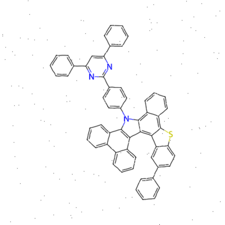 c1ccc(-c2ccc3sc4c5ccccc5c5c(c4c3c2)c2c3ccccc3c3ccccc3c2n5-c2ccc(-c3nc(-c4ccccc4)cc(-c4ccccc4)n3)cc2)cc1